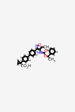 Cc1onc(-c2ccc(-c3ccc(C4(C(=O)O)CC4)cc3)cc2)c1NC(=O)O[C@@H](C)c1ccccc1